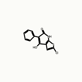 O=c1[nH]c2sc(Cl)cc2c(O)c1-c1ccccc1